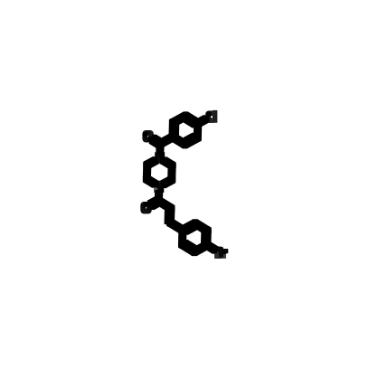 O=C(/C=C/c1ccc(Br)cc1)N1CCN(C(=O)c2ccc(Cl)cc2)CC1